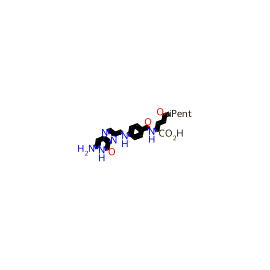 CCCC(C)C(=O)CC[C@H](NC(=O)c1ccc(NCc2cnc3cc(N)[nH]c(=O)c3n2)cc1)C(=O)O